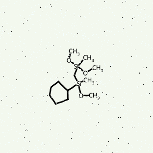 CO[Si](C)(C[Si](C)(OC)C1CCCCC1)OC